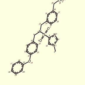 Cn1cnc(S(=O)(=O)N(Cc2ccc(Oc3ccccc3)cc2)Cc2cccc(CC(=O)O)c2)c1